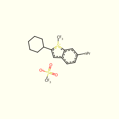 CCCc1ccc2cc(C3CCCCC3)[s+](C(F)(F)F)c2c1.O=S(=O)([O-])C(F)(F)F